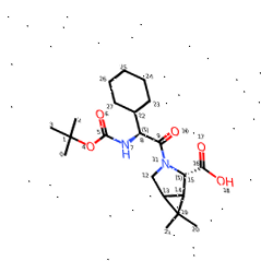 CC(C)(C)OC(=O)N[C@H](C(=O)N1CC2C([C@H]1C(=O)O)C2(C)C)C1CCCCC1